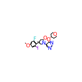 COc1cc(F)c([C@H]2CC(=O)N(c3cncnc3OC3CCOCC3)C2)c(I)c1